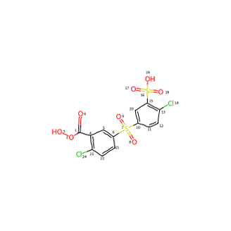 O=C(OO)c1cc(S(=O)(=O)c2ccc(Cl)c(S(=O)(=O)O)c2)ccc1Cl